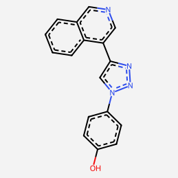 Oc1ccc(-n2cc(-c3cncc4ccccc34)nn2)cc1